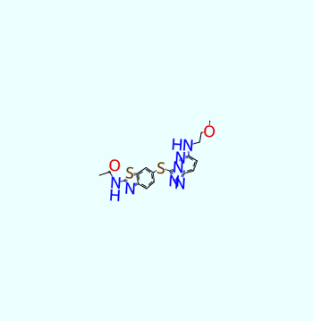 COCCNc1ccc2nnc(Sc3ccc4nc(NC(C)=O)sc4c3)n2n1